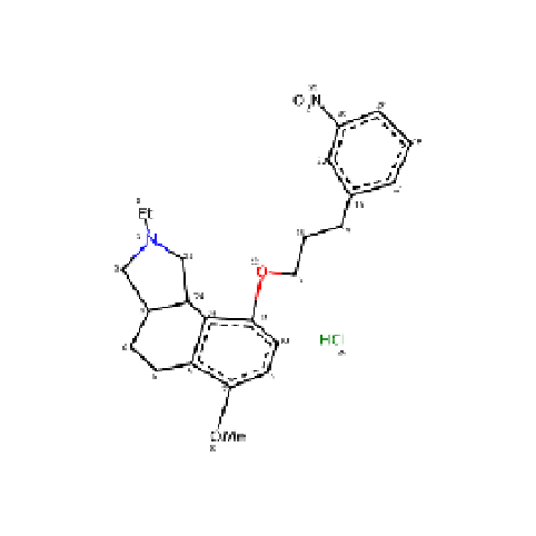 CCN1CC2CCc3c(OC)ccc(OCCCc4cccc([N+](=O)[O-])c4)c3C2C1.Cl